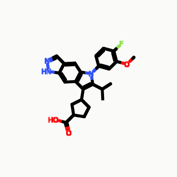 COc1cc(-n2c(C(C)C)c(C3CCC(C(=O)O)C3)c3cc4[nH]ncc4cc32)ccc1F